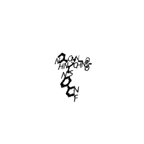 CS(=O)(=O)NCc1nnc(C(NC(=O)c2cccnc2)c2nc3ccc(-c4ccc(F)nc4)cc3s2)o1